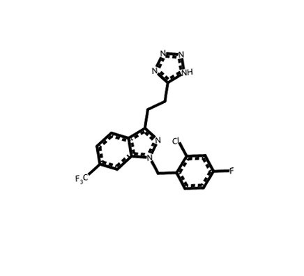 Fc1ccc(Cn2nc(CCc3nnn[nH]3)c3ccc(C(F)(F)F)cc32)c(Cl)c1